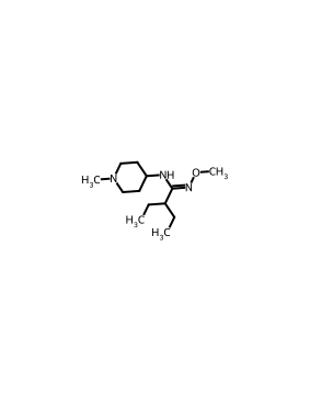 CCC(CC)/C(=N/OC)NC1CCN(C)CC1